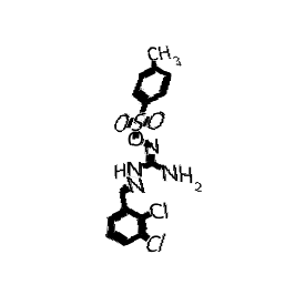 Cc1ccc(S(=O)(=O)ON=C(N)NN=Cc2cccc(Cl)c2Cl)cc1